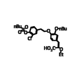 CCCCOc1cc(/C=C(/OCC)C(=O)O)ccc1OCCc1ccc(OS(=O)(=O)CCCC)c(Cl)c1